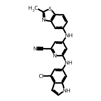 Cc1nc2cc(Nc3cc(C#N)nc(Nc4cc(Cl)c5cc[nH]c5c4)c3)ccc2s1